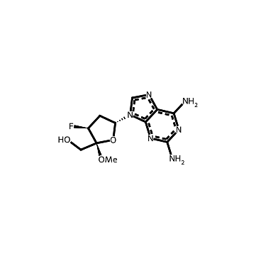 CO[C@]1(CO)O[C@@H](n2cnc3c(N)nc(N)nc32)C[C@@H]1F